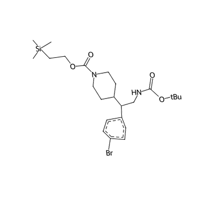 CC(C)(C)OC(=O)NCC(c1ccc(Br)cc1)C1CCN(C(=O)OCC[Si](C)(C)C)CC1